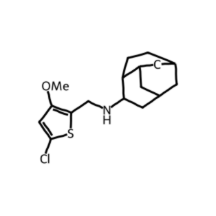 COc1cc(Cl)sc1CNC1CC2CC3CCC1C(C3)C2